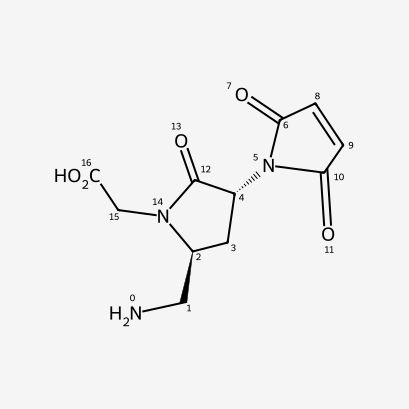 NC[C@@H]1C[C@@H](N2C(=O)C=CC2=O)C(=O)N1CC(=O)O